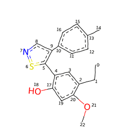 CCc1cc(-c2sncc2-c2ccc(C)cc2)c(O)cc1OC